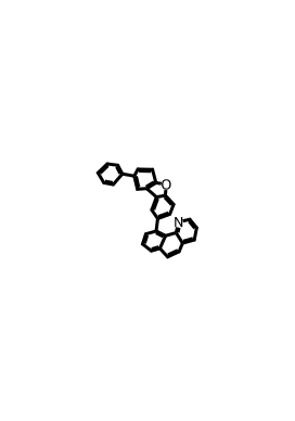 c1ccc(-c2ccc3oc4ccc(-c5cccc6ccc7cccnc7c56)cc4c3c2)cc1